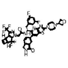 O=C(Cn1nc(C(F)(F)F)c2c1C(F)(F)[C@@H]1C=C[C@H]21)N[C@@H](Cc1cc(F)cc(F)c1)c1nc2nc(N3CCN(C4COC4)CC3)sc2cc1-c1ccc2c(c1)C(=O)NC2